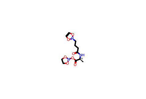 C[C@H](NC(=O)CCCN1OC=CO1)C(=O)ON1OCCO1